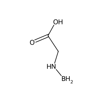 BNCC(=O)O